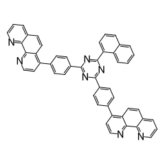 c1ccc2c(-c3nc(-c4ccc(-c5ccnc6c5ccc5cccnc56)cc4)nc(-c4ccc(-c5ccnc6c5ccc5cccnc56)cc4)n3)cccc2c1